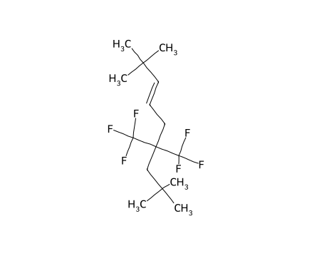 CC(C)(C)/C=C/CC(CC(C)(C)C)(C(F)(F)F)C(F)(F)F